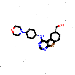 OC[C@H]1CCc2sc3ncnc(N[C@H]4CC[C@H](N5CCOCC5)CC4)c3c2C1